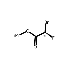 CC(C)OC(=O)[C@H](F)Br